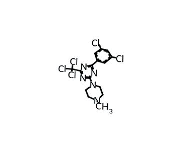 CN1CCN(c2nc(-c3cc(Cl)cc(Cl)c3)nc(C(Cl)(Cl)Cl)n2)CC1